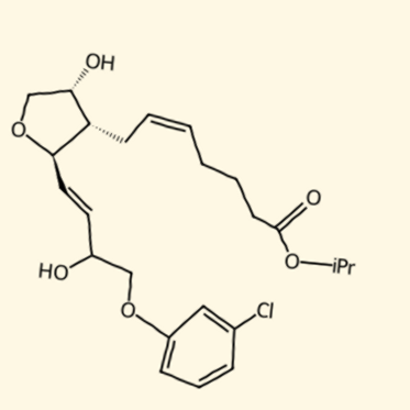 CC(C)OC(=O)CCC/C=C\C[C@H]1[C@@H](O)CO[C@@H]1/C=C/C(O)COc1cccc(Cl)c1